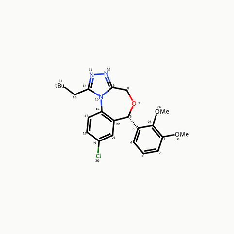 COc1cccc([C@H]2OCc3nnc(CC(C)(C)C)n3-c3ccc(Cl)cc32)c1OC